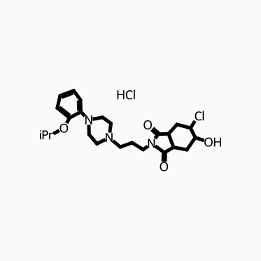 CC(C)Oc1ccccc1N1CCN(CCCN2C(=O)C3CC(O)C(Cl)CC3C2=O)CC1.Cl